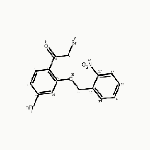 CCCc1ccc(C(=O)CBr)c(OCc2ccccc2[N+](=O)[O-])c1